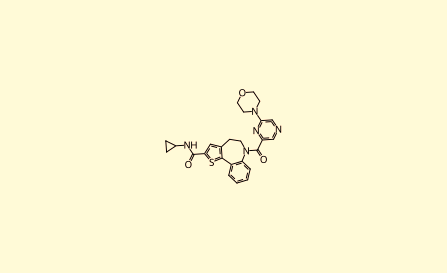 O=C(NC1CC1)c1cc2c(s1)-c1ccccc1N(C(=O)c1cncc(N3CCOCC3)n1)CC2